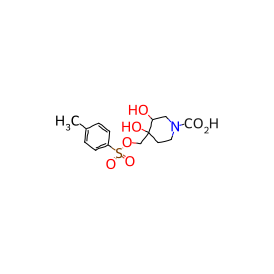 Cc1ccc(S(=O)(=O)OCC2(O)CCN(C(=O)O)CC2O)cc1